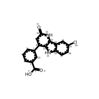 O=C(O)c1cccc(-c2cc(=O)[nH]c3c2[nH]c2ccc(Cl)cc23)c1